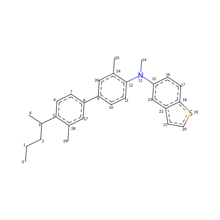 CCCC(C)c1ccc(-c2ccc(N(C)c3ccc4sccc4c3)c(C)c2)cc1C